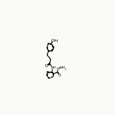 NOC(=O)c1ccccc1NC(=O)CCc1ccc(O)cc1